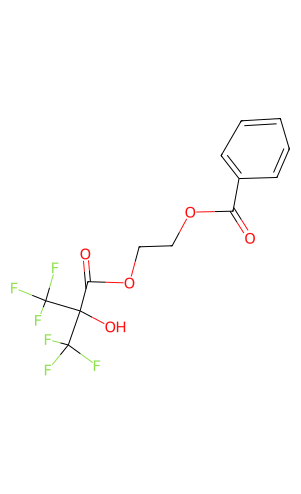 O=C(OCCOC(=O)C(O)(C(F)(F)F)C(F)(F)F)c1ccccc1